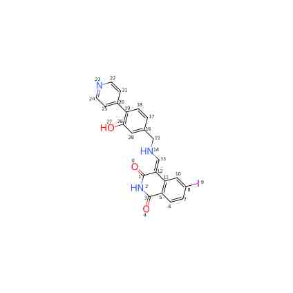 O=C1NC(=O)c2ccc(I)cc2C1=CNCc1ccc(-c2ccncc2)c(O)c1